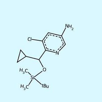 CC(C)(C)[Si](C)(C)OC(c1ncc(N)cc1Cl)C1CC1